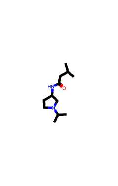 CC(C)CC(=O)NC1CCN(C(C)C)C1